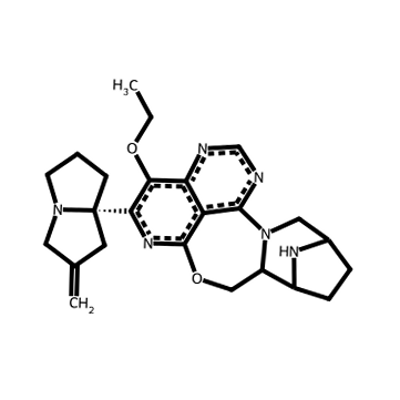 C=C1CN2CCC[C@@]2(c2nc3c4c(ncnc4c2OCC)N2CC4CCC(N4)C2CO3)C1